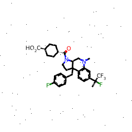 CN1CC2N(C(=O)[C@H]3CC[C@H](C(=O)O)CC3)CCC2(Cc2ccc(F)cc2)c2ccc(C(C)(F)C(F)(F)F)cc21